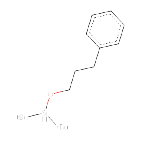 CC(C)(C)[SiH](OCCCc1ccccc1)C(C)(C)C